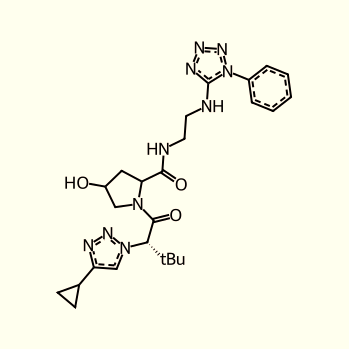 CC(C)(C)[C@@H](C(=O)N1CC(O)CC1C(=O)NCCNc1nnnn1-c1ccccc1)n1cc(C2CC2)nn1